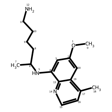 COc1cc(NC(C)CCCCN)c2nccc(C)c2c1